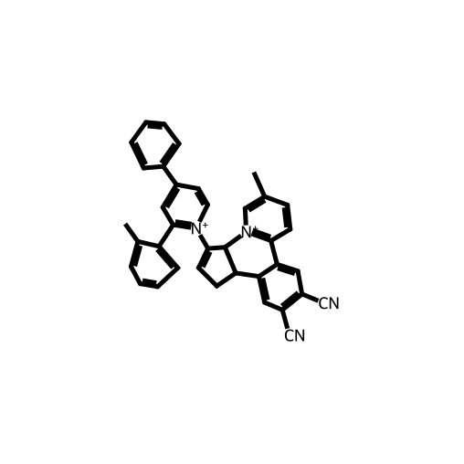 Cc1ccc2[n+](c1)C1C([n+]3ccc(-c4ccccc4)cc3-c3ccccc3C)=CCC1c1cc(C#N)c(C#N)cc1-2